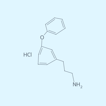 Cl.NCCCc1cccc(Oc2ccccc2)c1